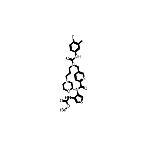 Cc1cc(NC(=O)N(CCCN2CCOCC2)Cc2ccc(C(=O)Nc3cscc3NC(=O)OC(C)(C)C)nc2)ccc1F